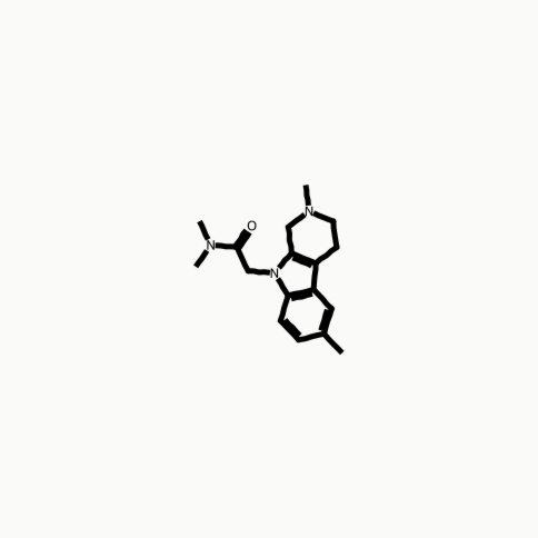 Cc1ccc2c(c1)c1c(n2CC(=O)N(C)C)CN(C)CC1